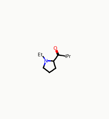 CCN1CCCC1C(=O)C(C)C